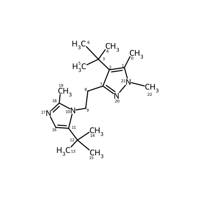 Cc1c(C(C)(C)C)c(CCn2c(C(C)(C)C)cnc2C)nn1C